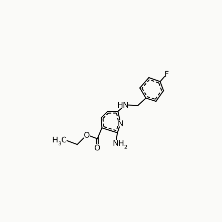 CCOC(=O)c1ccc(NCc2ccc(F)cc2)nc1N